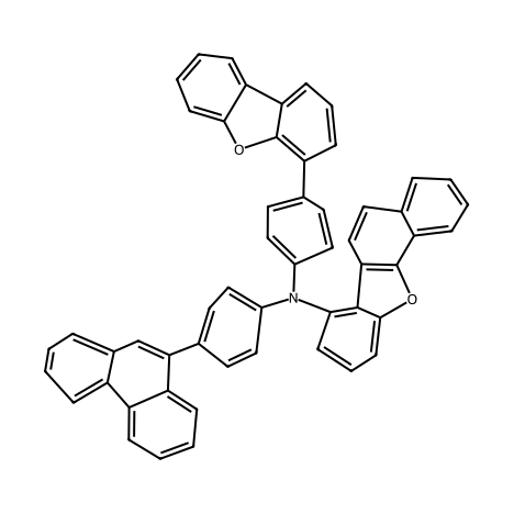 c1ccc2c(c1)cc(-c1ccc(N(c3ccc(-c4cccc5c4oc4ccccc45)cc3)c3cccc4oc5c6ccccc6ccc5c34)cc1)c1ccccc12